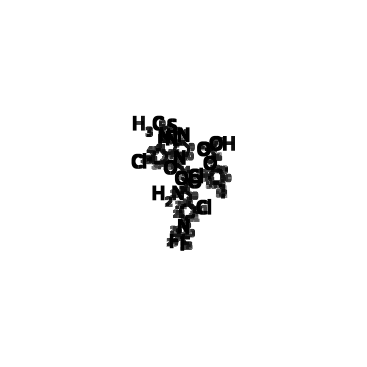 Cc1nn2c3c(nc2s1)CCN(C(=O)COC(=O)[C@@H](N)Cc1ccc(N2CC(F)(F)C2)cc1Cl)C3c1ccc(Cl)cc1F.O=C(O)COc1ccc(I)cc1Cl